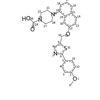 COc1ccc(-c2ncc(COc3ccc4cccc(N5CCN(C(=O)O)CC5)c4c3)s2)cc1